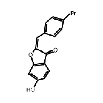 CC(C)c1ccc(C=C2Oc3cc(O)ccc3C2=O)cc1